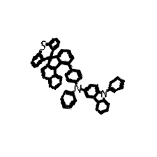 c1ccc(N(c2ccc(-c3cccc4c3-c3c(ccc5ccccc35)C43c4ccccc4Sc4ccccc43)cc2)c2ccc3c(c2)c2ccccc2n3-c2ccccc2)cc1